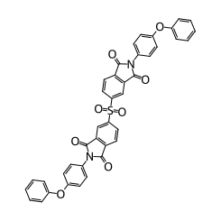 O=C1c2ccc(S(=O)(=O)c3ccc4c(c3)C(=O)N(c3ccc(Oc5ccccc5)cc3)C4=O)cc2C(=O)N1c1ccc(Oc2ccccc2)cc1